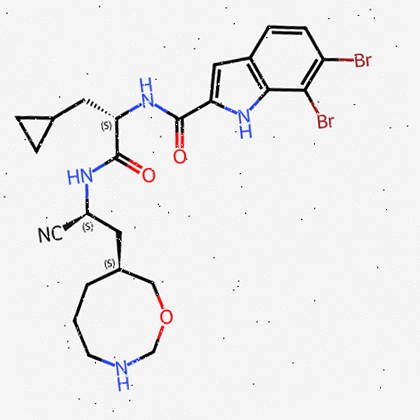 N#C[C@H](C[C@@H]1CCCNCOC1)NC(=O)[C@H](CC1CC1)NC(=O)c1cc2ccc(Br)c(Br)c2[nH]1